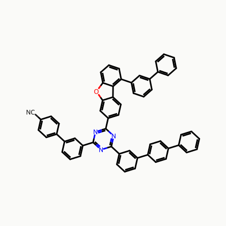 N#Cc1ccc(-c2cccc(-c3nc(-c4cccc(-c5ccc(-c6ccccc6)cc5)c4)nc(-c4ccc5c(c4)oc4cccc(-c6cccc(-c7ccccc7)c6)c45)n3)c2)cc1